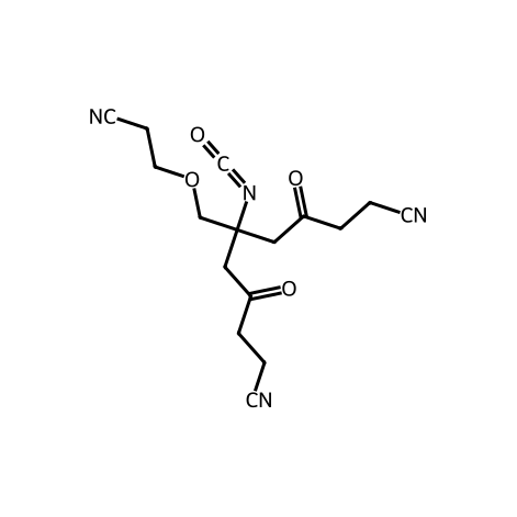 N#CCCOCC(CC(=O)CCC#N)(CC(=O)CCC#N)N=C=O